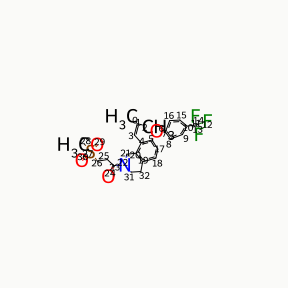 CC(C)=Cc1c(Oc2ccc(C(F)(F)F)cc2)ccc2c1CN(C(=O)CCS(C)(=O)=O)CC2